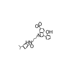 COC(=O)c1ccc2c(-c3ccccc3O)cn(CCCCNC(=O)c3ccc(C(C)C)cc3)c2c1